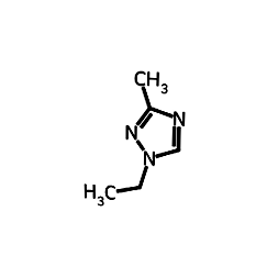 CCn1cnc(C)n1